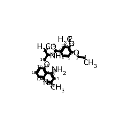 CCCOc1ccc(C(=O)NC(CC)COc2cccc3nc(C)cc(N)c23)cc1OC